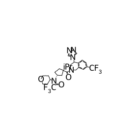 CC(C)[C@]1(C(=O)N2Cc3cc(C(F)(F)F)ccc3C(n3cnnc3)C2)CC[C@@H](N(C(=O)C(F)(F)F)C2CCOCC2)C1